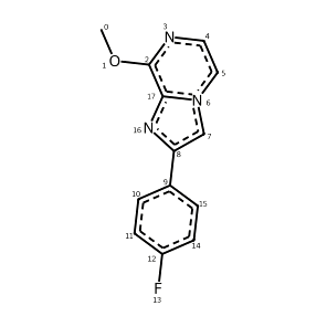 COc1nccn2cc(-c3ccc(F)cc3)nc12